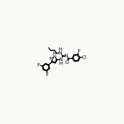 CCCCN/C(=N/C(=O)c1ccc(Cl)c(F)c1)Nc1cc(-c2cc(F)cc(F)c2)n[nH]1